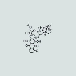 COc1cccc2c1C(=O)c1c(O)c3c(c(O)c1C2=O)C[C@@](O)(C(=O)COC(C)C)C[C@@H]3O[C@H]1C[C@H]2[C@H](O[C@@H]3[C@@H](OC)OCCN32)[C@H](C)O1